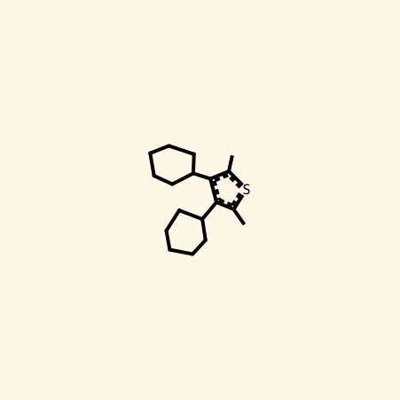 Cc1sc(C)c(C2CCCCC2)c1C1CCCCC1